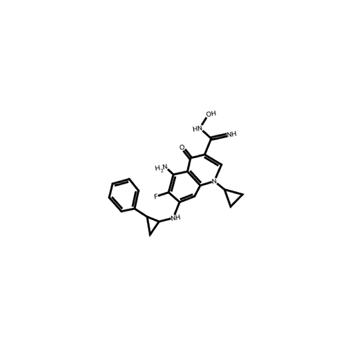 N=C(NO)c1cn(C2CC2)c2cc(NC3CC3c3ccccc3)c(F)c(N)c2c1=O